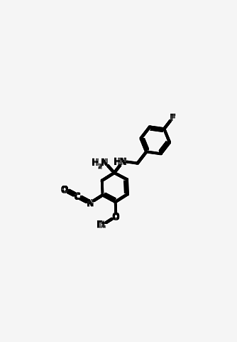 CCOC1=C(N=C=O)CC(N)(NCc2ccc(F)cc2)C=C1